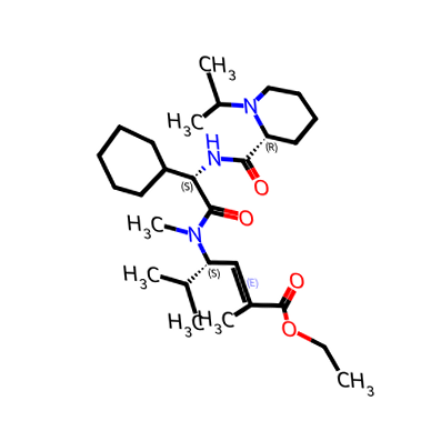 CCOC(=O)/C(C)=C/[C@H](C(C)C)N(C)C(=O)[C@@H](NC(=O)[C@H]1CCCCN1C(C)C)C1CCCCC1